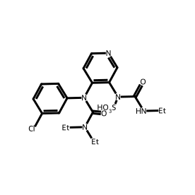 CCNC(=O)N(c1cnccc1N(C(=O)N(CC)CC)c1cccc(Cl)c1)S(=O)(=O)O